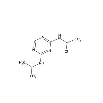 CC(C)Nc1ncnc(NC(C)Cl)n1